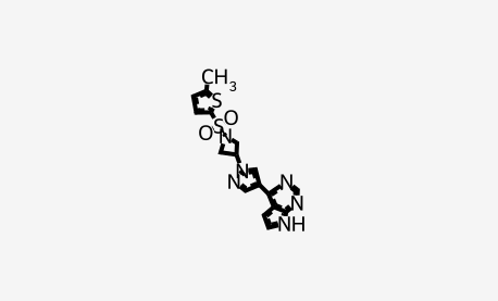 Cc1ccc(S(=O)(=O)N2CC(n3cc(-c4ncnc5[nH]ccc45)cn3)C2)s1